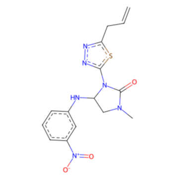 C=CCc1nnc(N2C(=O)N(C)CC2Nc2cccc([N+](=O)[O-])c2)s1